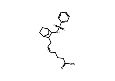 COC(=O)CCC/C=C\CC1C2CCC(C2)C1NS(=O)(=O)c1ccccc1